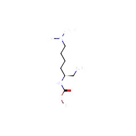 CC(C)(C)OC(=O)N[C@H](CN)CCCCN(C(=O)O)C(C)(C)C